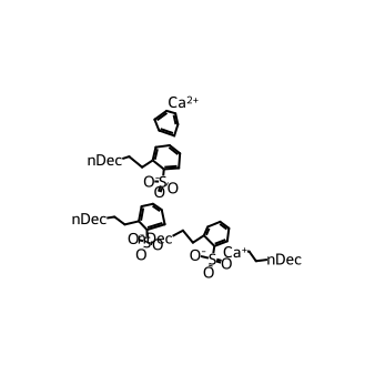 CCCCCCCCCCCCc1ccccc1S(=O)(=O)[O-].CCCCCCCCCCCCc1ccccc1S(=O)(=O)[O-].CCCCCCCCCCCCc1ccccc1S(=O)(=O)[O-].CCCCCCCCCCC[CH2][Ca+].[Ca+2].c1ccccc1